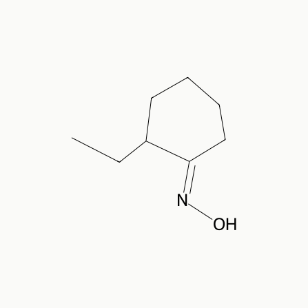 CCC1CCCCC1=NO